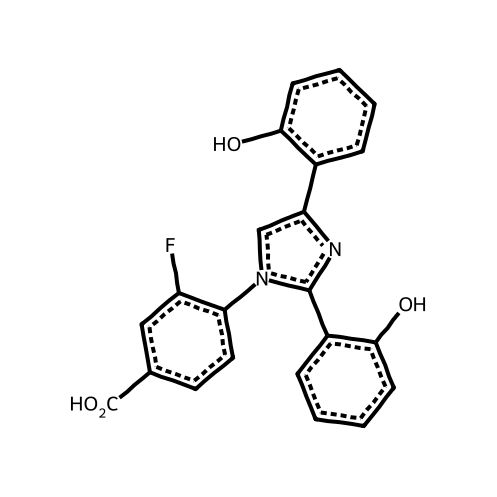 O=C(O)c1ccc(-n2cc(-c3ccccc3O)nc2-c2ccccc2O)c(F)c1